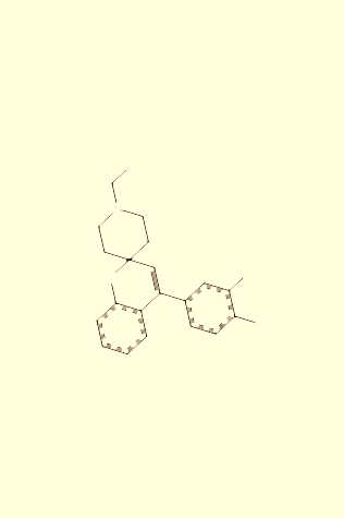 Cc1ccc(C2=CC3(CCN(CC(=O)O)CC3)Oc3ccccc32)cc1C.Cl